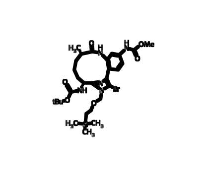 COC(=O)Nc1ccc2c(c1)NC(=O)[C@H](C)CCC[C@H](NC(=O)OC(C)(C)C)c1nc-2c(Br)n1COCC[Si](C)(C)C